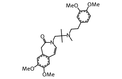 COc1ccc(CCN(C)C(C)(C)CN2C=Cc3cc(OC)c(OC)cc3CC2=O)cc1OC